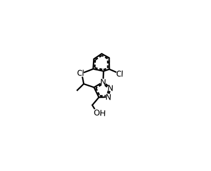 CC(C)c1c(CO)nnn1-c1c(Cl)cccc1Cl